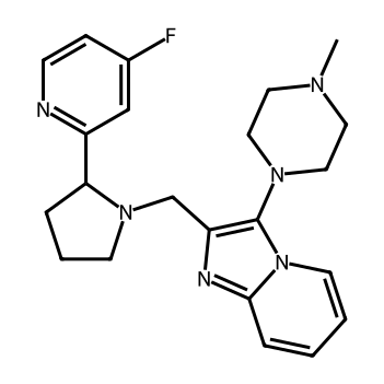 CN1CCN(c2c(CN3CCCC3c3cc(F)ccn3)nc3ccccn23)CC1